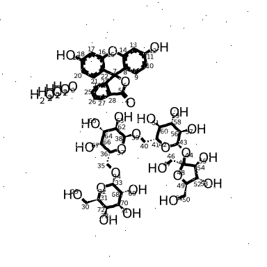 O.O.O.O.O=C1OC2(c3ccc(O)cc3Oc3cc(O)ccc32)c2ccccc21.OC[C@H]1O[C@H](OC[C@H]2O[C@H](OC[C@H]3O[C@H](O[C@]4(CO)O[C@H](CO)[C@@H](O)[C@@H]4O)[C@H](O)[C@@H](O)[C@@H]3O)[C@H](O)[C@@H](O)[C@H]2O)[C@H](O)[C@@H](O)[C@H]1O